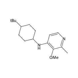 COc1c(NC2CCC(C(C)(C)C)CC2)ccnc1C